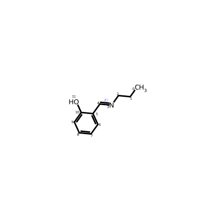 CCC/N=C/c1ccccc1O